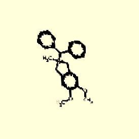 COc1cc2c(cc1OC)C[N+](C)(C(c1ccccc1)c1ccccc1)C2